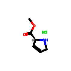 COC(=O)[C@@H]1C=CCN1.Cl